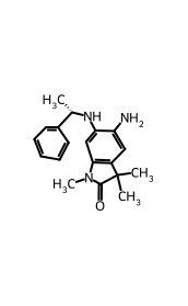 C[C@H](Nc1cc2c(cc1N)C(C)(C)C(=O)N2C)c1ccccc1